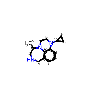 CC1CNCc2cccc3c2N1CCN3C1CC1